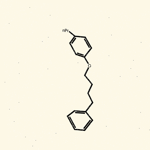 CCCc1ccc(OCCCCc2ccccc2)cc1